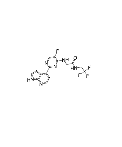 O=C(CNc1nc(-c2ccnc3[nH]ccc23)ncc1F)NCC(F)(F)F